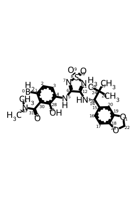 Bc1ccc(NC2=NS(=O)(=O)N=C2N[C@@H](c2ccc3c(c2)OCO3)C(C)(C)C)c(O)c1C(=O)N(C)C